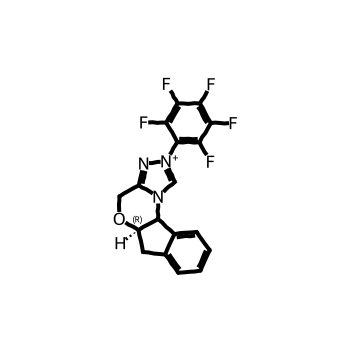 Fc1c(F)c(F)c(-[n+]2cn3c(n2)CO[C@@H]2Cc4ccccc4C23)c(F)c1F